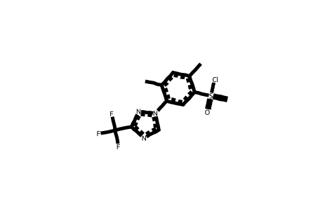 C=S(=O)(Cl)c1cc(-n2cnc(C(F)(F)F)n2)c(C)cc1C